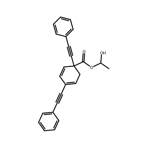 CC(O)OC(=O)C1(C#Cc2ccccc2)C=CC(C#Cc2ccccc2)=CC1